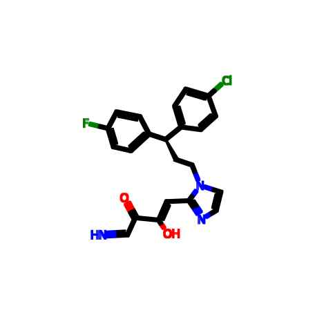 N=CC(=O)/C(O)=C/c1nccn1CC[C@@H](c1ccc(F)cc1)c1ccc(Cl)cc1